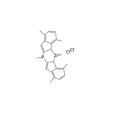 Cc1ccc(C)c2c1C=C1[CH]2[Zr+2][CH]2C(=Cc3c(C)ccc(C)c32)P1C.[Cl-].[Cl-]